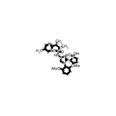 COc1cccc(OC)c1N1CN(NS(=O)(=O)[C@@H](C)[C@H](C)c2ncc(C)cn2)N=C1[C@@H]1CCCS1(O)O